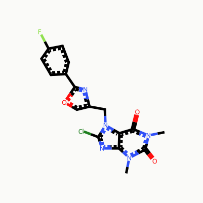 Cn1c(=O)c2c(nc(Cl)n2Cc2coc(-c3ccc(F)cc3)n2)n(C)c1=O